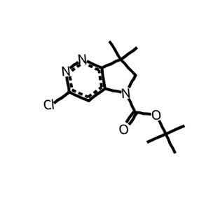 CC(C)(C)OC(=O)N1CC(C)(C)c2nnc(Cl)cc21